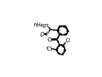 CCCCCCCC(P=O)c1ccccc1C(=O)c1c(Cl)cccc1Cl